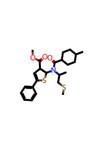 COC(=O)C1C=C(c2ccccc2)SC1N(C(=O)C1CCC(C)CC1)C(C)CSC